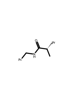 CC(=O)CNC(=O)[C@@H](C)C(C)C